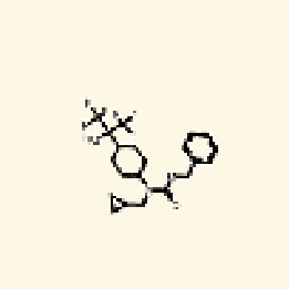 O=C(OCc1ccccc1)N(CC1CC1)C1CCC(C(O)(C(F)(F)F)C(F)(F)F)CC1